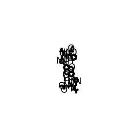 COC(=O)NCC(=O)N(Cc1ncc(-c2cc3c4c(c2)OCc2cc(-c5cnc(CN(C(=O)[C@H](NC(=O)OC)c6ccccc6)[C@H](C)C(C)C)[nH]5)cc(c2-4)OC3)[nH]1)[C@H](C)C(C)C